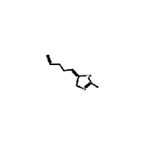 C=CCC/C=C1\CN=C(C)N1